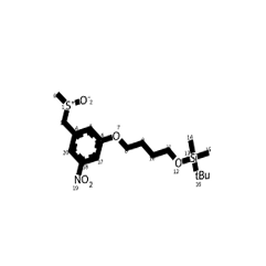 C[S+]([O-])Cc1cc(OCCCCO[Si](C)(C)C(C)(C)C)cc([N+](=O)[O-])c1